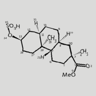 COC(=O)[C@@]1(C)CC[C@H]2[C@@H](CC[C@@H]3C[C@H](OS(=O)(=O)O)CC[C@@]32C)C1